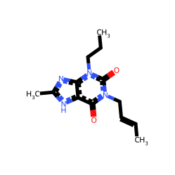 C/C=C/Cn1c(=O)c2[nH]c(C)nc2n(CCC)c1=O